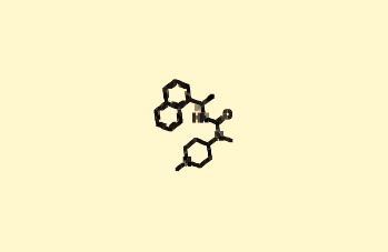 C[C@@H](NC(=O)N(C)C1CCN(C)CC1)c1cccc2ccccc12